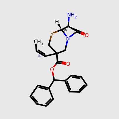 C/C=C\C1(C(=O)OC(c2ccccc2)c2ccccc2)CS[C@@H]2C(N)C(=O)N2C1